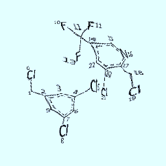 ClCc1cc(Cl)cc(Cl)c1.FC(F)(F)c1cnc(CCl)c(Cl)c1